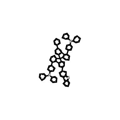 c1ccc(-c2ccc3c(c2)-c2c(-c4ccc(N(c5ccccc5)c5ccccc5)cc4)cccc2C32c3ccc(-c4ccc5c(c4)sc4ccccc45)cc3-c3c(-c4ccc(N(c5ccccc5)c5ccccc5)cc4)cccc32)cc1